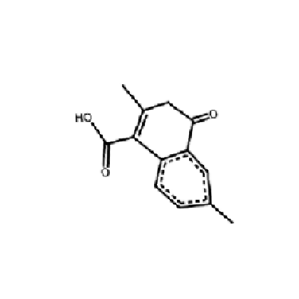 CC1=C(C(=O)O)c2ccc(C)cc2C(=O)C1